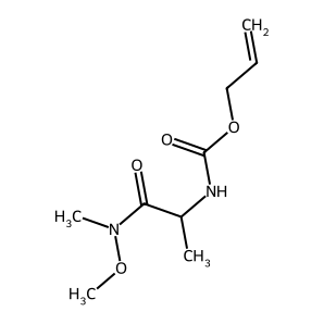 C=CCOC(=O)NC(C)C(=O)N(C)OC